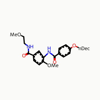 CCCCCCCCCCOc1ccc(C(=O)Nc2cc(C(=O)NCCOC)ccc2OC)cc1